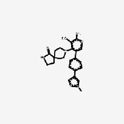 Cn1cc(-c2ccc(-c3cnc(N)c(C(F)(F)F)c3N3CCC4(CCNC4=O)CC3)cc2)cn1